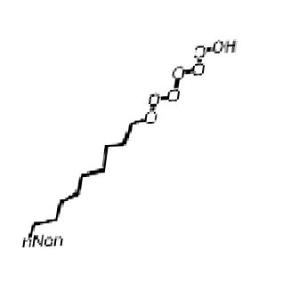 CCCCCCCCCCCCCCCCCCOOOOOOO